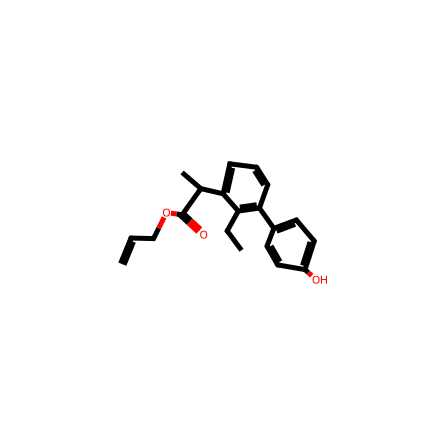 C=CCOC(=O)C(C)c1cccc(-c2ccc(O)cc2)c1CC